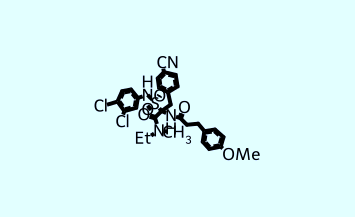 CCN(C)C(=O)C(Cc1ccc(C#N)cc1)(NC(=O)CCc1ccc(OC)cc1)S(=O)(=O)Nc1ccc(Cl)c(Cl)c1